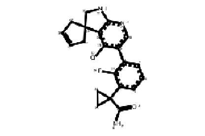 NC(=O)C1(c2cccc(-c3cnc4c(c3Cl)C3(CC=CC3)CN4)c2F)CC1